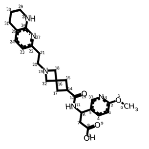 COc1ccc(C(CC(=O)O)NC(=O)C2CC3(C2)CN(CCc2ccc4c(n2)NCCC4)C3)cn1